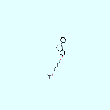 C=C(C)C(=O)OCCCCCCOc1ccc2c(c1)CCCC(c1ccccc1)=C2